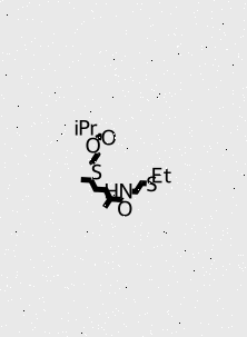 CCSCCNC(=O)C(C)CCC(C)SCCOC(=O)C(C)C